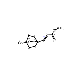 COC(=O)/C=C/C12CCC(O)(CC1)CC2